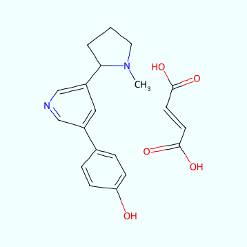 CN1CCCC1c1cncc(-c2ccc(O)cc2)c1.O=C(O)C=CC(=O)O